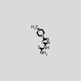 CN1CCN(c2nnc(NC(N)=S)s2)CC1